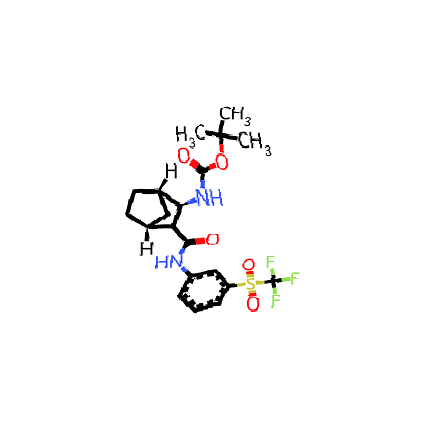 CC(C)(C)OC(=O)N[C@H]1C(C(=O)Nc2cccc(S(=O)(=O)C(F)(F)F)c2)[C@@H]2CC[C@H]1C2